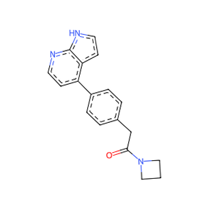 O=C(Cc1ccc(-c2ccnc3[nH]ccc23)cc1)N1CCC1